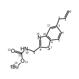 C=CCc1ccc2sc(CNC(=O)OC(C)(C)C)nc2c1